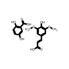 COc1cc(/C=C/C(=O)O)cc(OC)c1O.O=C(O)c1cc(O)ccc1O